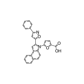 O=C(O)c1ccc(-n2c(-c3cc(-c4ccccc4)no3)cc3c4ccccc4ccc32)o1